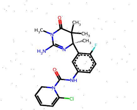 CN1C(=O)C(C)(C)[C@@](C)(c2cc(NC(=O)N3CC=CC=C3Cl)ccc2F)N=C1N